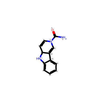 NC(=O)N1C=CC2Nc3ccccc3C2=C1